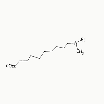 CCCCCCCCCCCCCCCCCN(C)CC